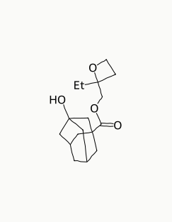 CCC1(COC(=O)C23CC4CC(CC(O)(C4)C2)C3)CCO1